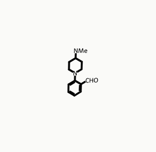 CNC1CCN(c2ccccc2C=O)CC1